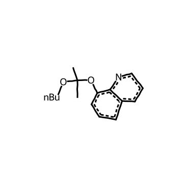 CCCCOC(C)(C)Oc1cccc2cccnc12